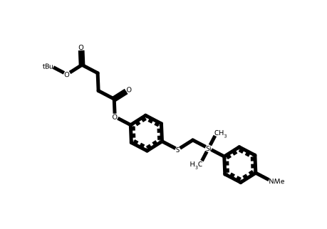 CNc1ccc([Si](C)(C)CSc2ccc(OC(=O)CCC(=O)OC(C)(C)C)cc2)cc1